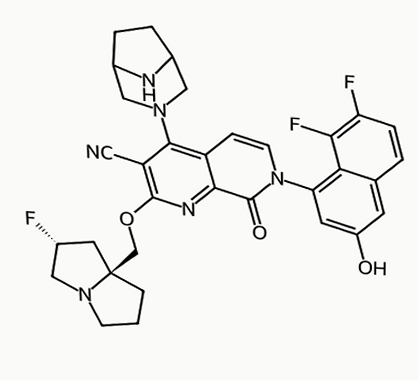 N#Cc1c(OC[C@@]23CCCN2C[C@H](F)C3)nc2c(=O)n(-c3cc(O)cc4ccc(F)c(F)c34)ccc2c1N1CC2CCC(C1)N2